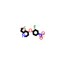 O=[N+]([O-])c1ccc(Oc2ccnc3c[c]sc23)c(F)c1